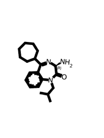 CC(C)CN1C(=O)[C@H](N)N=C(C2CCCCCC2)c2ccccc21